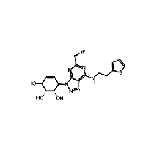 CCCSc1nc(NCCc2cccs2)c2nnn(C3C=C[C@H](O)[C@@H](O)[C@H]3O)c2n1